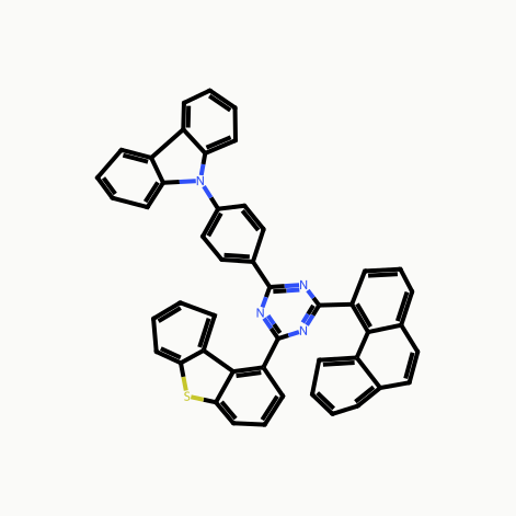 c1ccc2c(c1)ccc1cccc(-c3nc(-c4ccc(-n5c6ccccc6c6ccccc65)cc4)nc(-c4cccc5sc6ccccc6c45)n3)c12